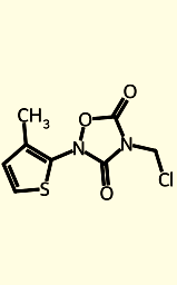 Cc1ccsc1-n1oc(=O)n(CCl)c1=O